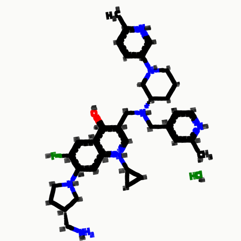 Cc1ccc(N2CCC[C@H](N(Cc3ccnc(C)c3)Cc3cn(C4CC4)c4cc(N5CC[C@@H](CN)C5)c(F)cc4c3=O)C2)cn1.Cl